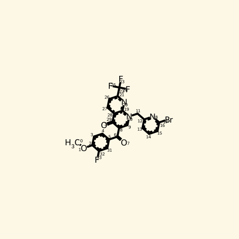 COc1ccc(C(=O)c2cn(Cc3cccc(Br)n3)c3nc(C(F)(F)F)ccc3c2=O)cc1F